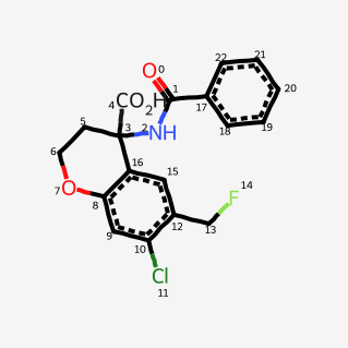 O=C(NC1(C(=O)O)CCOc2cc(Cl)c(CF)cc21)c1ccccc1